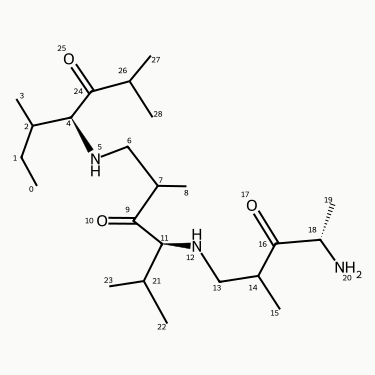 CCC(C)[C@H](NCC(C)C(=O)[C@@H](NCC(C)C(=O)[C@H](C)N)C(C)C)C(=O)C(C)C